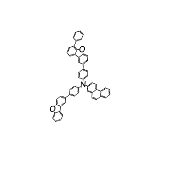 c1ccc(-c2cccc3c2oc2ccc(-c4ccc(N(c5ccc(-c6ccc7oc8ccccc8c7c6)cc5)c5ccc6c(ccc7ccccc76)c5)cc4)cc23)cc1